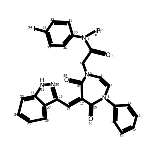 CC(C)N(C(=O)CN1C=CN(c2ccccc2)C(=O)/C(=C/c2n[nH]c3ccccc23)C1=O)c1ccc(I)cc1